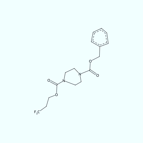 O=C(OCCC(F)(F)F)N1CCN(C(=O)OCc2ccccc2)CC1